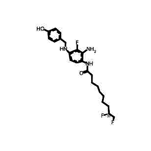 Nc1c(NC(=O)CCCCCCC[C@H](F)CF)ccc(NCc2ccc(O)cc2)c1F